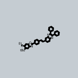 CCOc1cc2oc(-c3ccc(C=Cc4ccc5nc(-c6ccccc6)c(-c6ccccc6)nc5c4)cc3)nc2cc1C(C)(C)C